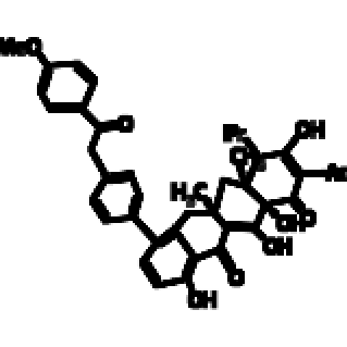 COc1ccc(C(=O)Cc2ccc(-c3ccc(O)c4c3C[C@]3(C)C[C@]5(C)C(C(C)C)C(O)=C(C(C)=O)C(=O)[C@]5(O)C(O)=C3C4=O)cc2)cc1